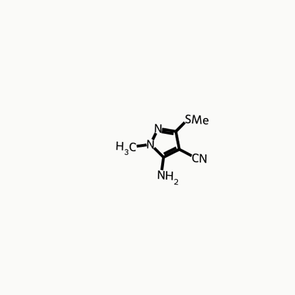 CSc1nn(C)c(N)c1C#N